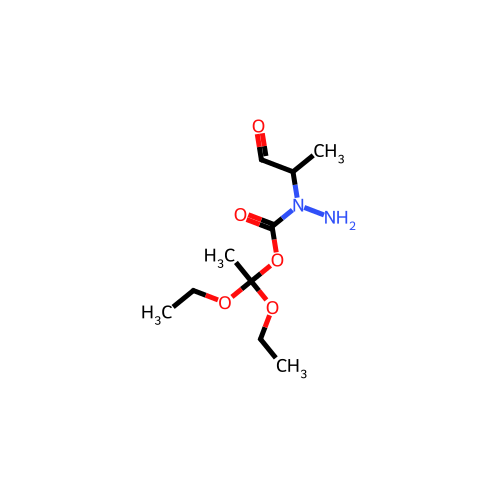 CCOC(C)(OCC)OC(=O)N(N)C(C)C=O